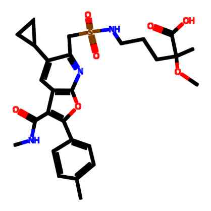 CNC(=O)c1c(-c2ccc(C)cc2)oc2nc(CS(=O)(=O)NCCCC(C)(OC)C(=O)O)c(C3CC3)cc12